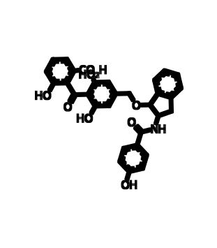 O=C(NC1Cc2ccccc2C1OCc1cc(O)c(C(=O)c2c(O)cccc2C(=O)O)c(O)c1)c1ccc(O)cc1